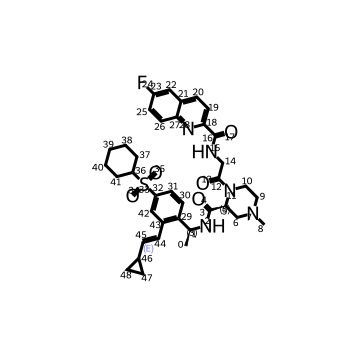 C[C@H](NC(=O)[C@@H]1CN(C)CCN1C(=O)CNC(=O)c1ccc2cc(F)ccc2n1)c1ccc(S(=O)(=O)C2CCCCC2)cc1/C=C/C1CC1